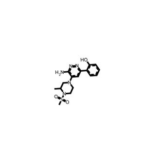 CC1CN(c2cc(-c3ccccc3O)nnc2N)CCN1S(C)(=O)=O